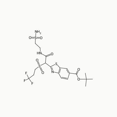 CC(C)(C)OC(=O)c1ccc2nc(C(C(=O)NCCS(N)(=O)=O)S(=O)(=O)CCC(F)(F)F)sc2c1